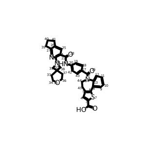 O=C(O)c1cc2c(s1)-c1ccccc1N(C(=O)c1ccc(NC(=O)c3cc4c(nc3N3CC5(CCOCC5)C3)CCC4)cc1)CC2